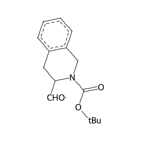 CC(C)(C)OC(=O)N1Cc2ccccc2CC1[C]=O